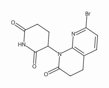 O=C1CCC(N2C(=O)CCc3ccc(Br)nc32)C(=O)N1